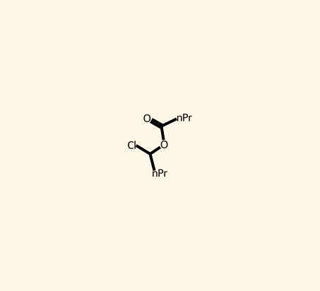 CCCC(=O)OC(Cl)CCC